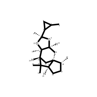 CC1CC1[C@@]1(C)O[C@H]2C[C@@]34C[C@H](C(C)(C)[C@@H]3CC[C@H]4C)[C@@]2(C)O1